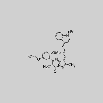 CCCCCCCCOc1ccc(OC)c(-c2nc3\c(=C/C=C/C=C4\C=CN(CCC)c5ccccc54)c(C)nn3c(=O)c2C)c1